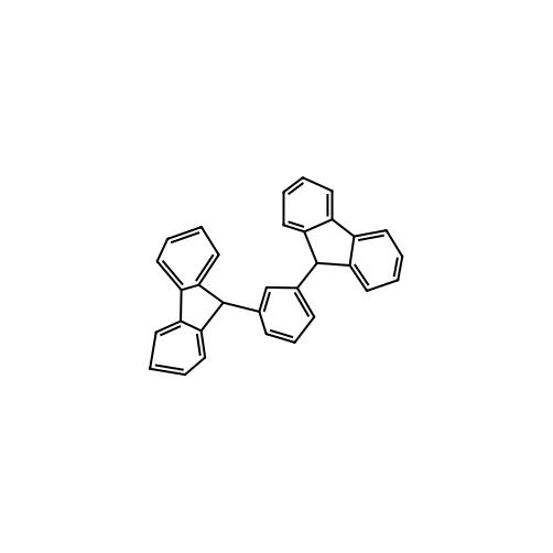 c1cc(C2c3ccccc3-c3ccccc32)cc(C2c3ccccc3-c3ccccc32)c1